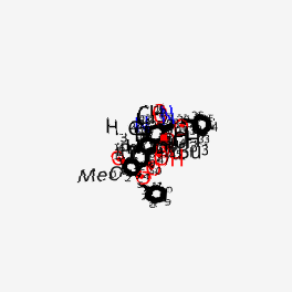 COc1cc(OCc2ccccc2)c2c(c1OC(C)C)C[C@H]1C[C@H]3[C@H](N(C)C)c4onc(OCc5ccccc5)c4C(=O)[C@@]3(O[Si](C)(C)C(C)(C)C)C(O)=C1C2=O